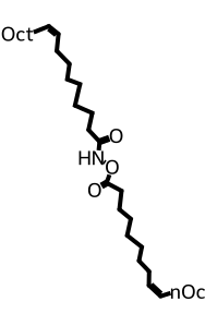 CCCCCCCC/C=C\CCCCCCCC(=O)NOC(=O)CCCCCCC/C=C\CCCCCCCC